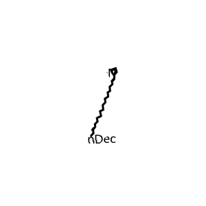 CCCCCCCCCCCCCCCCCCCCCCCCCCCC/C=C/C1=CC=C[N]1